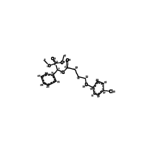 COP(=O)(OC)C(OC(=O)CCCOc1ccc(Cl)cc1)c1ccccc1